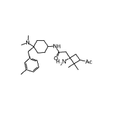 CC(=O)C1CC(N)(CC(=O)NC2CCC(Cc3cccc(C)c3)(N(C)C)CC2)C1(C)C